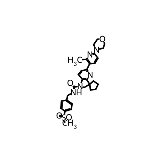 Cc1nc(N2CCOCC2)ccc1-c1ccc2c(n1)C1(CCCC1)CN2C(=O)NCc1ccc(S(C)(=O)=O)cc1